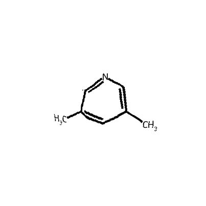 Cc1[c]ncc(C)c1